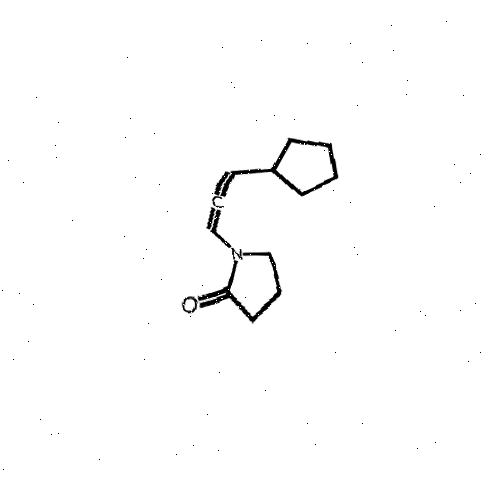 O=C1CCCN1C=C=CC1CCCC1